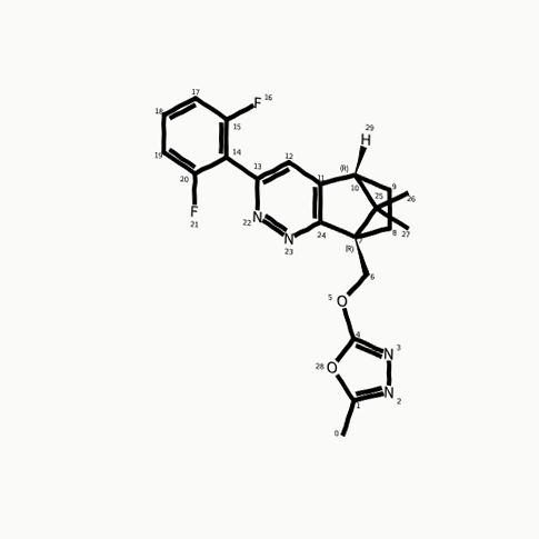 Cc1nnc(OC[C@@]23CC[C@@H](c4cc(-c5c(F)cccc5F)nnc42)C3(C)C)o1